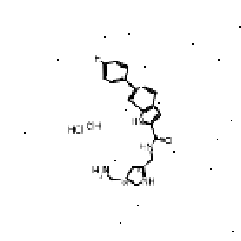 Cl.Cl.NC[C@@H]1CN[C@H](CNC(=O)c2cc3ccc(-c4ccc(F)cc4)cc3[nH]2)C1